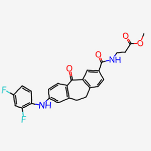 COC(=O)CCNC(=O)c1ccc2c(c1)C(=O)c1ccc(Nc3ccc(F)cc3F)cc1CC2